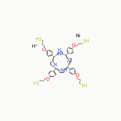 SCCCOc1ccc(-c2c3nc(c(-c4ccc(OCCCS)cc4)c4ccc([nH]4)c(-c4ccc(OCCCS)cc4)c4nc(c(-c5ccc(OCCCS)cc5)c5ccc2[nH]5)C=C4)C=C3)cc1.[H+].[Ni]